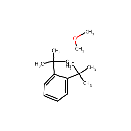 CC(C)(C)c1ccccc1C(C)(C)C.COC